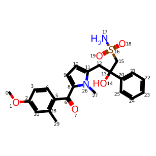 COc1ccc(C(=O)c2ccc(CC(O)(CS(N)(=O)=O)c3ccccc3)n2C)c(C)c1